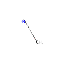 CCCCCCCCCCCCCCCCCCCCCCCCCC=CC1=CC=C[N]1